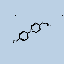 CCOC1=CCN(c2ccc(Cl)cc2)C=C1